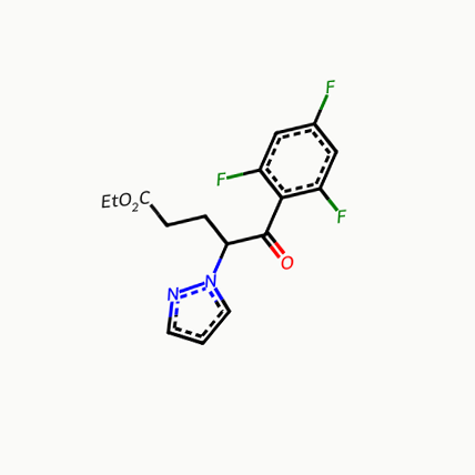 CCOC(=O)CCC(C(=O)c1c(F)cc(F)cc1F)n1cccn1